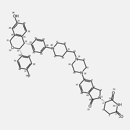 O=C1CC[C@H](N2Cc3cc(N4CCN(CC5CCN(c6ccc([C@H]7c8ccc(O)cc8CO[C@H]7c7ccc(F)cc7)cc6)CC5)CC4)ccc3C2=O)C(=O)N1